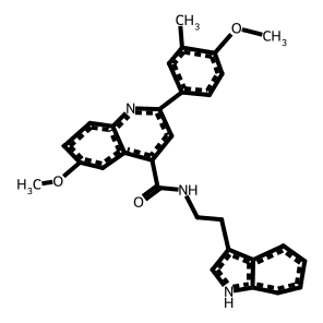 COc1ccc2nc(-c3ccc(OC)c(C)c3)cc(C(=O)NCCc3c[nH]c4ccccc34)c2c1